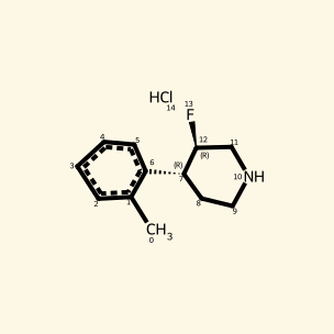 Cc1ccccc1[C@H]1CCNC[C@@H]1F.Cl